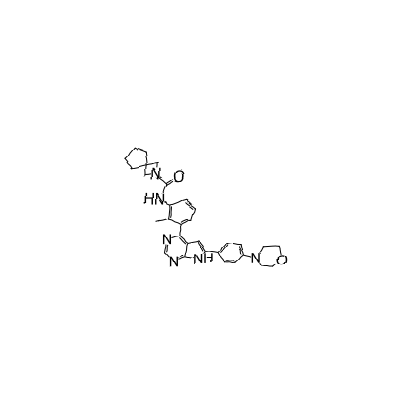 Cc1c(NC(=O)N2CC3(CCCC3)C2)cccc1-c1ncnc2[nH]c(-c3ccc(N4CCOCC4)cc3)cc12